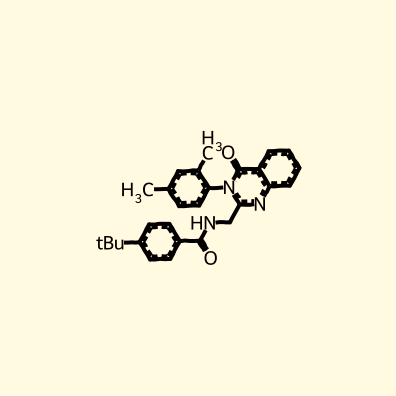 Cc1ccc(-n2c(CNC(=O)c3ccc(C(C)(C)C)cc3)nc3ccccc3c2=O)c(C)c1